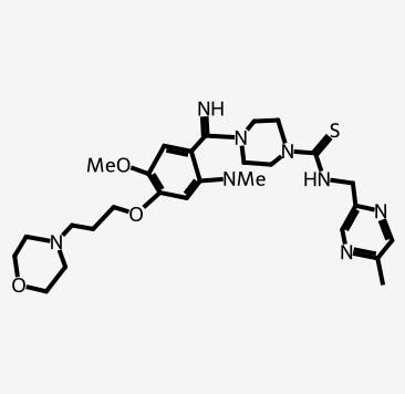 CNc1cc(OCCCN2CCOCC2)c(OC)cc1C(=N)N1CCN(C(=S)NCc2cnc(C)cn2)CC1